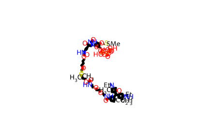 CC/N=c1/cc2oc3cc(NCC)c(C)cc3c(-c3cc(C(=O)NCCOCCOCCNC(=O)OCCC(C)(C)SSCOCCCCOC(=O)NC#Cc4cn([C@H]5CC(OCSSC)[C@@H](COP(=O)(O)OP(=O)(O)OP(=O)(O)O)O5)c(=O)[nH]c4=O)ccc3C(=O)O)c-2cc1C